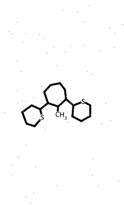 CC1[C](C2CCCCS2)CCCCC1C1CCCCS1